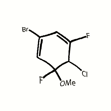 COC1(F)C=C(Br)C=C(F)C1Cl